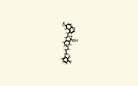 COc1ccc2nccc(CCC[C@@H]3CCN(CCCSc4cccc(F)c4F)C[C@@H]3C(=O)O)c2c1